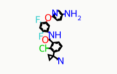 N#CC1(c2cccc(C(=O)Nc3cc(Oc4ccc(N)cn4)c(F)cc3F)c2Cl)CC1